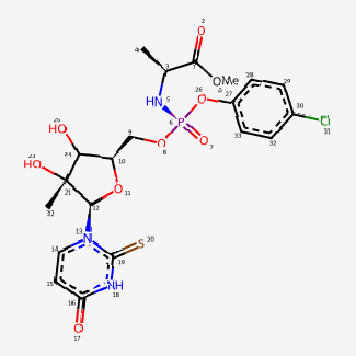 COC(=O)[C@H](C)N[P@@](=O)(OC[C@H]1O[C@@H](n2ccc(=O)[nH]c2=S)[C@](C)(O)C1O)Oc1ccc(Cl)cc1